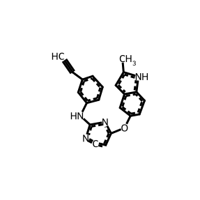 C#Cc1cccc(Nc2nccc(Oc3ccc4[nH]c(C)cc4c3)n2)c1